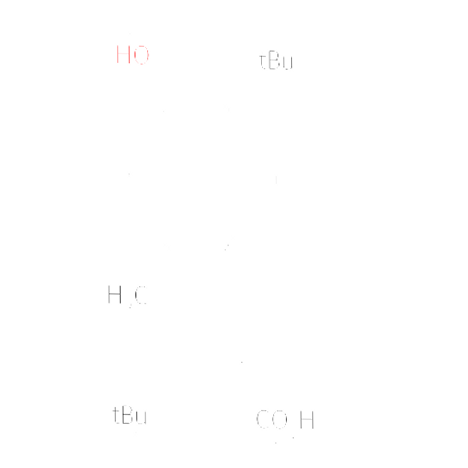 CC(=C(Cc1ccc(O)c(C(C)(C)C)c1)C(=O)O)C(C)(C)C